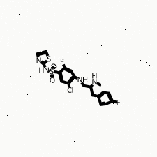 CNC(CNc1cc(F)c(S(=O)(=O)Nc2nccs2)cc1Cl)Cc1ccc(F)cc1